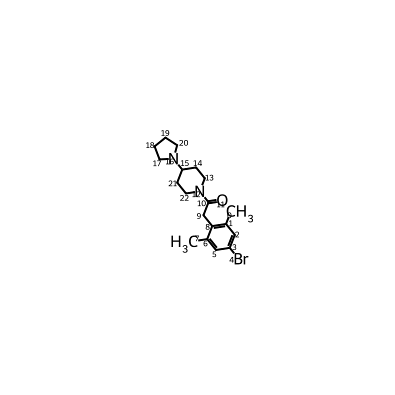 Cc1cc(Br)cc(C)c1CC(=O)N1CCC(N2CCCC2)CC1